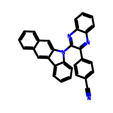 N#Cc1ccc(-c2nc3ccccc3nc2-n2c3ccccc3c3cc4ccccc4cc32)cc1